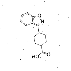 O=C(O)C1CCC(c2noc3ccccc23)CC1